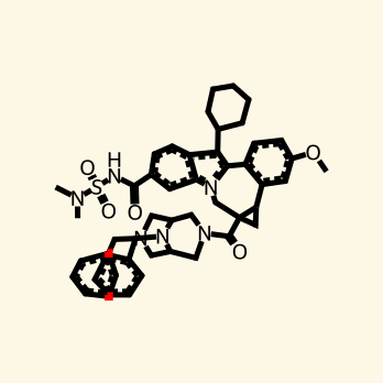 COc1ccc2c(c1)C1CC1(C(=O)N1CC3CN(Cc4ccccc4)CC(C1)N3Cc1ccccc1)Cn1c-2c(C2CCCCC2)c2ccc(C(=O)NS(=O)(=O)N(C)C)cc21